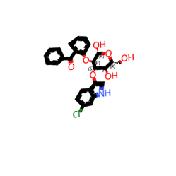 O=C(c1ccccc1)c1ccccc1O[C@@H]1[C@@H](Oc2c[nH]c3cc(Cl)ccc23)[C@H](O)[C@@H](CO)O[C@H]1O